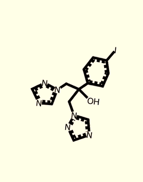 OC(Cn1cncn1)(Cn1cncn1)c1ccc(I)cc1